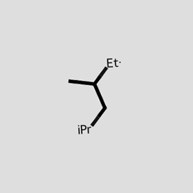 C[CH]C(C)CC(C)C